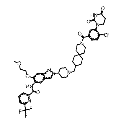 COCCOc1cc2nn(C3CCN(CC4CCC5(CC4)CCN(C(=O)c4ccc(Cl)c(N6CCC(=O)NC6=O)c4)CC5)CC3)cc2cc1NC(=O)c1cccc(C(F)(F)F)n1